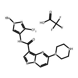 CC(C)(C)n1cc(NC(=O)c2cnn3ccc(N4CCNCC4)nc23)c(C(F)(F)F)n1.O=C(O)C(F)(F)F